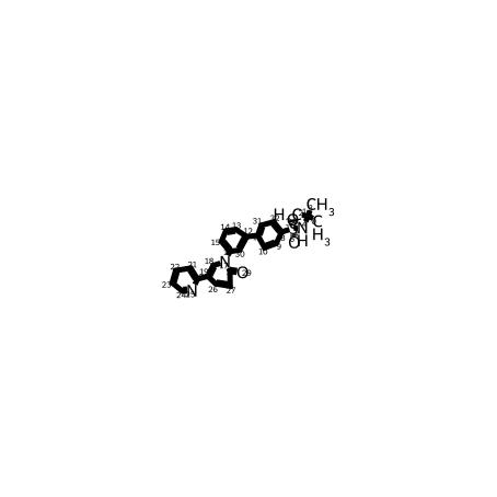 CC(C)(C)NS(=O)(=O)c1ccc(-c2cccc(-n3cc(-c4ccccn4)ccc3=O)c2)cc1